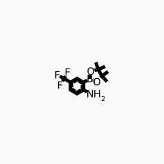 CC1(C)OB(c2cc(C(F)(F)F)ccc2N)OC1(C)C